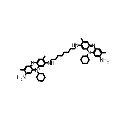 CC1=CC2=Nc3cc(C)c(N)cc3N(C3CCCCC3)C2C=C1NCCCCCCCCNc1cc2c(cc1C)nc1cc(C)c(N)cc1[n+]2C1CCCCC1